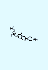 CC(C)N1CCN(C(=O)CN2C(C)CN(CC(F)(F)COS(C)=S)CC2C)CC1